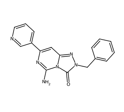 Nc1nc(-c2cccnc2)cc2nn(Cc3ccccc3)c(=O)n12